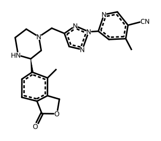 Cc1cc(-n2ncc(CN3CCN[C@H](c4ccc5c(c4C)COC5=O)C3)n2)ncc1C#N